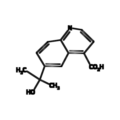 CC(C)(O)c1ccc2nccc(C(=O)O)c2c1